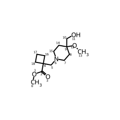 COC(=O)C1(CN2CCC(CO)(OC)CC2)CCC1